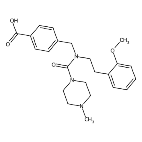 COc1ccccc1CCN(Cc1ccc(C(=O)O)cc1)C(=O)N1CCN(C)CC1